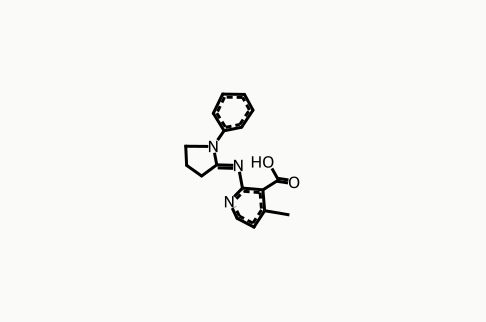 Cc1ccnc(N=C2CCCN2c2ccccc2)c1C(=O)O